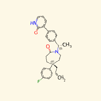 C=CC[C@@]1(c2ccc(F)cc2)CCC(=O)N([C@@H](C)c2ccc(-c3ccc[nH]c3=O)cc2)CC1